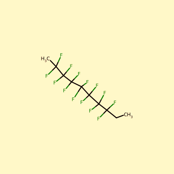 CCC(F)(F)C(F)(F)C(F)(F)C(F)(F)C(F)(F)C(F)(F)C(C)(F)F